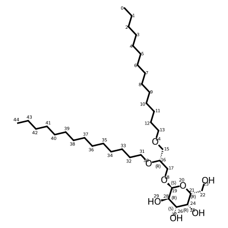 CCCCCCCCCCCCCCOC[C@H](CO[C@H]1O[C@H](CO)[C@H](O)[C@H](O)[C@H]1O)OCCCCCCCCCCCCCC